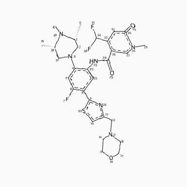 C[C@@H]1CN(c2cc(F)c(-c3nc(CN4CCOCC4)cs3)cc2NC(=O)c2cn(C)c(=O)cc2C(F)F)C[C@H](C)N1C